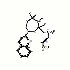 CN1C(C)(C)CCN(c2ccc3ccccc3n2)CC1(C)C.O=C(O)/C=C/C(=O)O